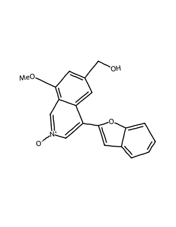 COc1cc(CO)cc2c(-c3cc4ccccc4o3)c[n+]([O-])cc12